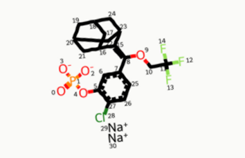 O=P([O-])([O-])Oc1cc(C(OCC(F)(F)F)=C2C3CC4CC(C3)CC2C4)ccc1Cl.[Na+].[Na+]